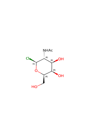 CC(=O)N[C@@H]1[C@@H](O)[C@@H](O)[C@@H](CO)O[C@H]1Cl